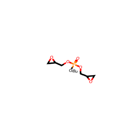 CC(C)COP(=O)(OCC1CO1)OCC1CO1